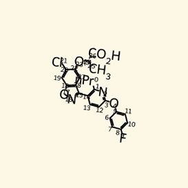 CCCc1nc(Oc2ccc(F)cc2)ccc1-c1noc2cc(Cl)c(O[C@@H](C)C(=O)O)cc12